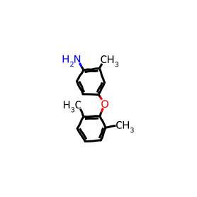 Cc1cc(Oc2c(C)cccc2C)ccc1N